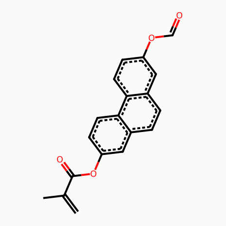 C=C(C)C(=O)Oc1ccc2c(ccc3cc(OC=O)ccc32)c1